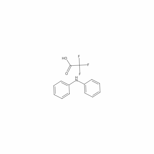 O=C(O)C(F)(F)F.c1ccc(Nc2ccccc2)cc1